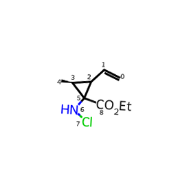 C=CC1[C@H](C)C1(NCl)C(=O)OCC